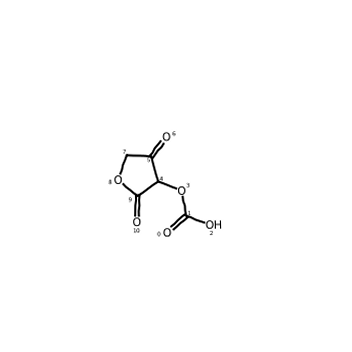 O=C(O)OC1C(=O)COC1=O